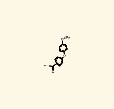 CC(C)(C)Oc1ccc(Oc2ccc(C(=O)C(C)(C)C)cc2)cc1